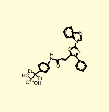 CCC(CC)(c1ccc(NC(=O)C=Cc2sc(-n3cnc4ccccc43)nc2-c2ccccc2)cc1)P(=O)(O)O